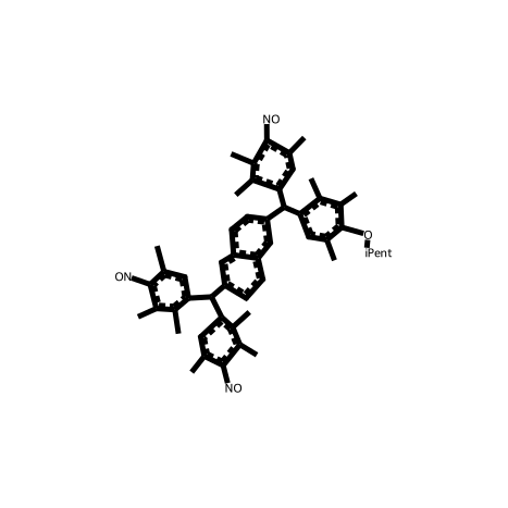 CCCC(C)Oc1c(C)cc(C(c2ccc3cc(C(c4cc(C)c(N=O)c(C)c4C)c4cc(C)c(N=O)c(C)c4C)ccc3c2)c2cc(C)c(N=O)c(C)c2C)c(C)c1C